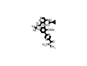 [2H]C([2H])([2H])NC(=O)c1nncc(NC(=O)C2CC2)c1Nc1cccc(-c2cnc(C(=O)N(C)C)cn2)c1OC